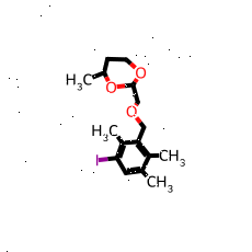 Cc1cc(I)c(C)c(COCC2OCCC(C)O2)c1C